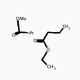 CCCC(=O)OC.CCCC(=O)OCC